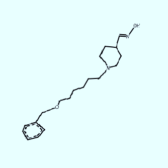 ON=CC1CCN(CCCCCCOCc2ccccc2)CC1